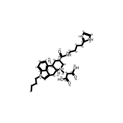 CCCCn1cc2c3c(cccc31)[C@H]1C[C@@H](C(=O)NCCCCc3ncc[nH]3)CN(C)[C@@H]1C2.O=C(O)CC(=O)O